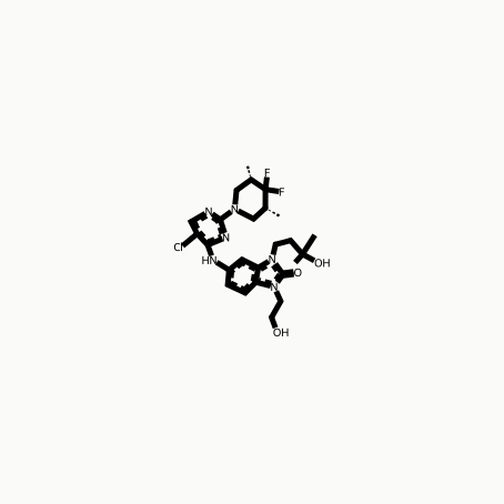 C[C@@H]1CN(c2ncc(Cl)c(Nc3ccc4c(c3)n(CCC(C)(C)O)c(=O)n4CCO)n2)C[C@H](C)C1(F)F